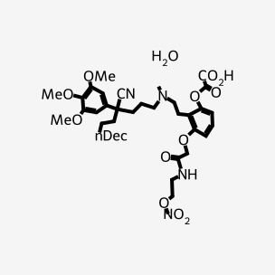 CCCCCCCCCCCCC(C#N)(CCCN(C)CCc1c(OCC(=O)NCCO[N+](=O)[O-])cccc1OC(=O)C(=O)O)c1cc(OC)c(OC)c(OC)c1.O